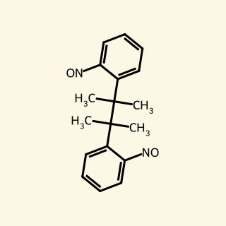 CC(C)(c1ccccc1N=O)C(C)(C)c1ccccc1N=O